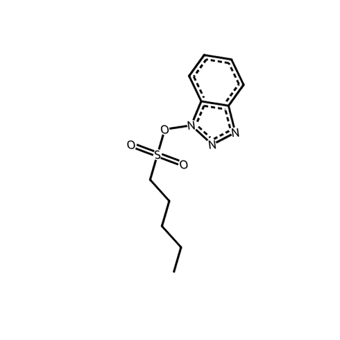 CCCCCS(=O)(=O)On1nnc2ccccc21